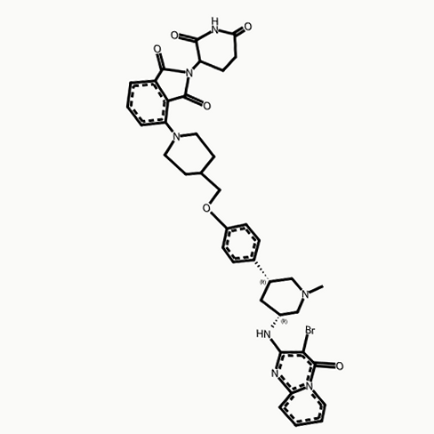 CN1C[C@H](Nc2nc3ccccn3c(=O)c2Br)C[C@H](c2ccc(OCC3CCN(c4cccc5c4C(=O)N(C4CCC(=O)NC4=O)C5=O)CC3)cc2)C1